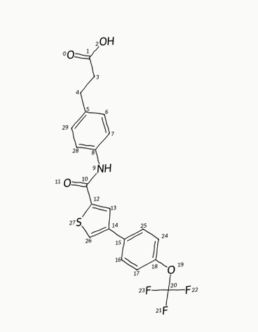 O=C(O)CCc1ccc(NC(=O)c2cc(-c3ccc(OC(F)(F)F)cc3)cs2)cc1